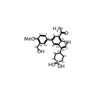 COc1ccc(-c2cc(C(N)=O)c3[nH]cc(C4CCS(O)(O)CC4)c3c2)cc1CO